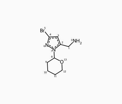 NCc1cc(Br)nn1C1CCCCO1